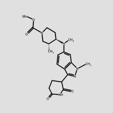 C[C@@H]1CN(C(=O)OC(C)(C)C)CC[C@H]1N(C)c1ccc2c(C3CCC(=O)NC3=O)nn(C)c2c1